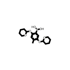 Cc1cc(OC2CCCCO2)c(B(O)O)cc1OC1CCCCO1